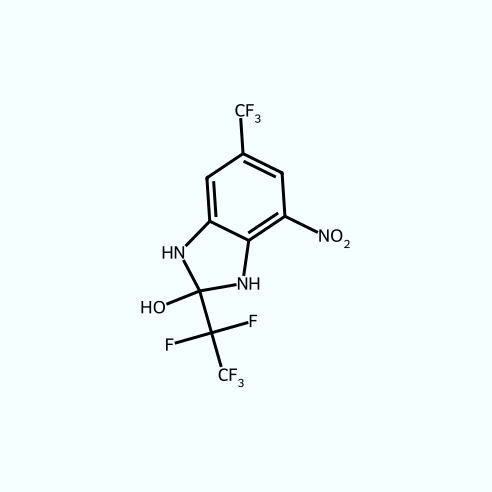 O=[N+]([O-])c1cc(C(F)(F)F)cc2c1NC(O)(C(F)(F)C(F)(F)F)N2